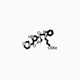 COCCCCn1c(C(=O)N(CC(C)C)[C@@H]2CNCC(C(=O)N3CCCOCC3)C2)nc2ccccc21